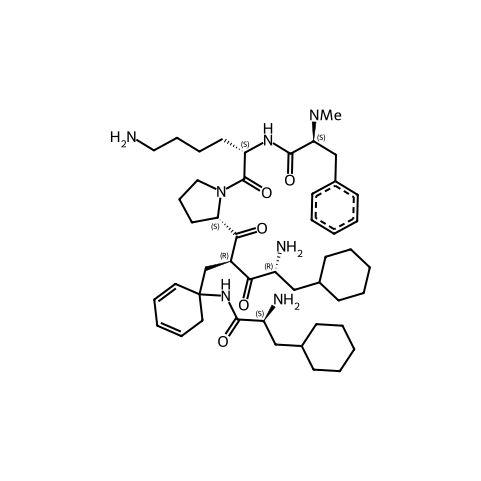 CN[C@@H](Cc1ccccc1)C(=O)N[C@@H](CCCCN)C(=O)N1CCC[C@H]1C(=O)[C@H](CC1(NC(=O)[C@@H](N)CC2CCCCC2)C=CC=CC1)C(=O)[C@H](N)CC1CCCCC1